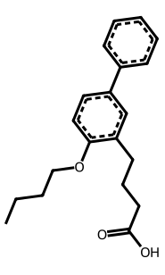 CCCCOc1ccc(-c2ccccc2)cc1CCCC(=O)O